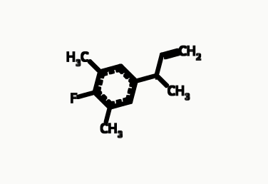 C=C[C](C)c1cc(C)c(F)c(C)c1